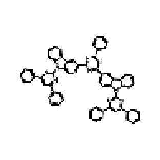 c1ccc(-c2cc(-c3ccccc3)nc(-n3c4ccccc4c4cc(-c5nc(-c6ccccc6)nc(-c6ccc7c(c6)c6ccccc6n7-c6nc(-c7ccccc7)cc(-c7ccccc7)n6)n5)ccc43)n2)cc1